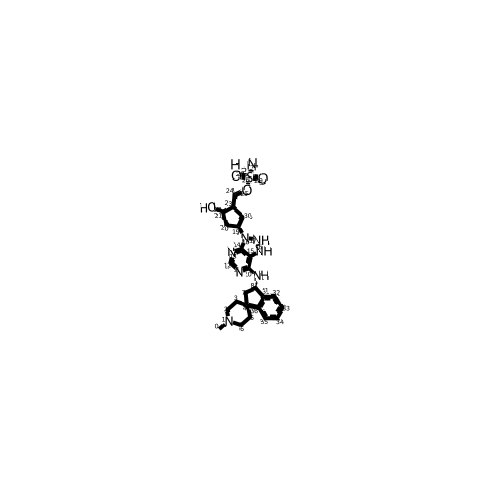 CN1CCC2(CC1)C[C@H](Nc1ncnc3c1NNN3C1CC(O)C(COS(N)(=O)=O)C1)c1ccccc12